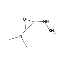 BNC1OC1N(C)C